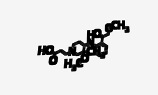 COCC(=O)c1ccccc1NC1CCN(CCC(=O)O)CC1(C)OC